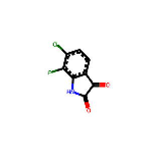 O=C1Nc2c(ccc(Cl)c2F)C1=O